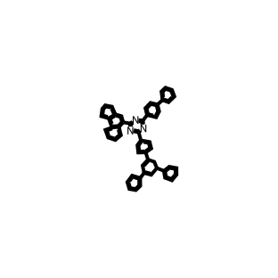 C1=C(c2ccccc2)C=C(c2ccc(-c3nc(-c4ccc(-c5ccccc5)cc4)nc(-c4cc5ccccc5c5ccccc45)n3)cc2)CC1c1ccccc1